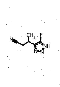 CC(CC#N)c1nn[nH]c1F